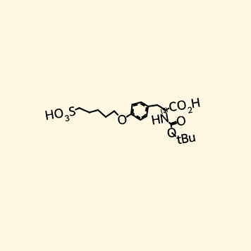 CC(C)(C)OC(=O)N[C@@H](Cc1ccc(OCCCCCS(=O)(=O)O)cc1)C(=O)O